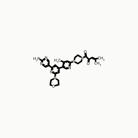 CC(C)=CC(=O)C(=O)N1CCN(c2cc(C)c(-c3cc(-c4cnc(N)nc4)nc(N4CCOCC4)c3)cn2)CC1